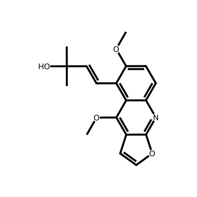 COc1ccc2nc3occc3c(OC)c2c1/C=C/C(C)(C)O